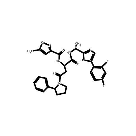 Cc1cc(C(=O)NC(CC(=O)N2CCCC2c2ccccc2)C(=O)N[C@@H](C)c2ncc(-c3ccc(F)cc3F)[nH]2)no1